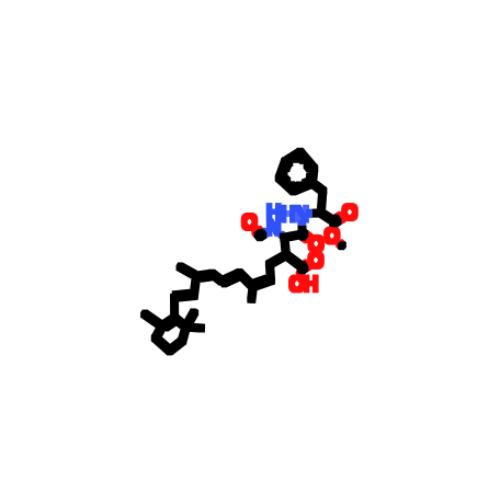 COC(=O)C(Cc1ccccc1)NC(=O)[C@@H](NC=O)C(CC=C(C)C=CC=C(C)C=CC1=C(C)CCCC1(C)C)C(=O)O